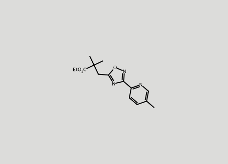 CCOC(=O)C(C)(C)Cc1nc(-c2ccc(C)cn2)no1